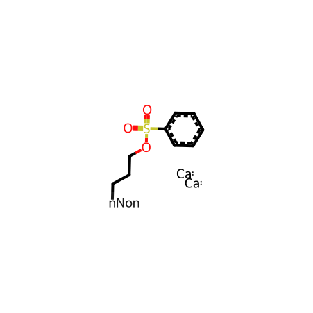 CCCCCCCCCCCCOS(=O)(=O)c1ccccc1.[Ca].[Ca]